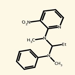 CCC(N(C)c1ccccc1)N(C)c1ncccc1[N+](=O)[O-]